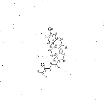 CC(C)C(=O)CCC(C)C1CCC2C3C(C)CC4=CC(=O)CCC4(C)C3CCC12C